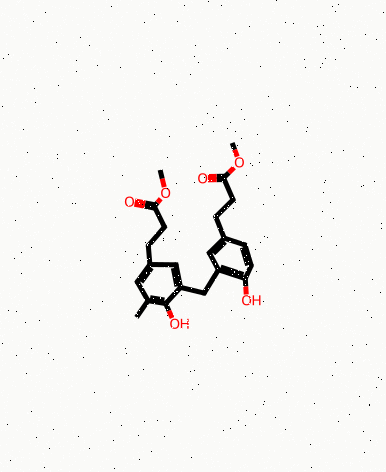 COC(=O)CCc1ccc(O)c(Cc2cc(CCC(=O)OC)cc(C)c2O)c1